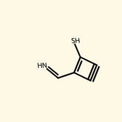 N=CC1=C(S)C#C1